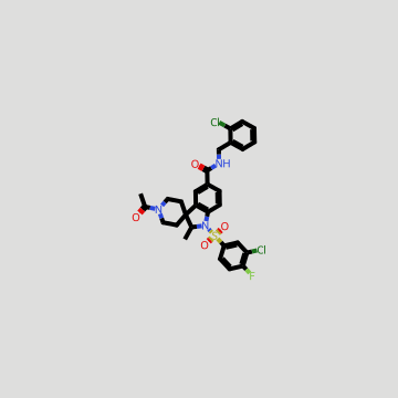 CC(=O)N1CCC2(CC1)c1cc(C(=O)NCc3ccccc3Cl)ccc1N(S(=O)(=O)c1ccc(F)c(Cl)c1)C2C